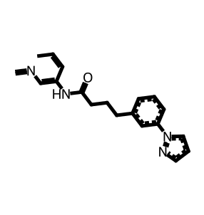 C=N/C=C(\C=C/C)NC(=O)CCCc1cccc(-n2cccn2)c1